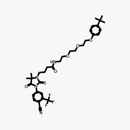 CC(C)(C)c1ccc(OCCOCCOCCNC(=O)CCCN2C(=S)N(c3ccc(C#N)c(C(F)(F)F)c3)C(=O)C2(C)C)cc1